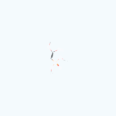 CCO/C(O)=C/P(=O)(OCC)OCC